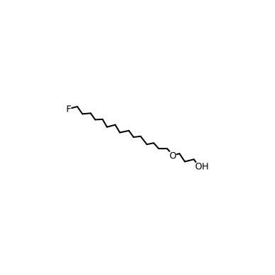 OCCCOCCCCCCCCCCCCCCCF